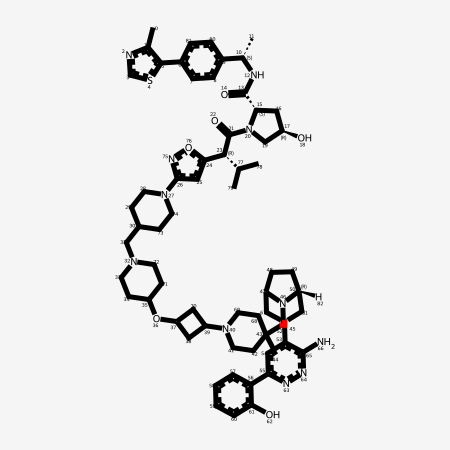 Cc1ncsc1-c1ccc([C@H](C)NC(=O)[C@@H]2C[C@@H](O)CN2C(=O)[C@@H](c2cc(N3CCC(CN4CCC(OC5CC(N6CCC(F)(CN7C8CC[C@@H]7CN(c7cc(-c9ccccc9O)nnc7N)C8)CC6)C5)CC4)CC3)no2)C(C)C)cc1